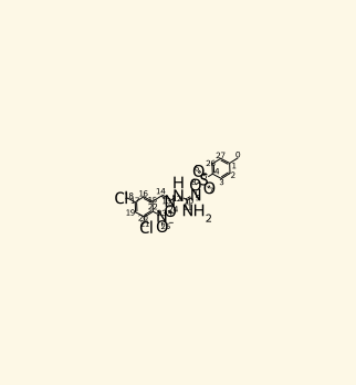 Cc1ccc(S(=O)(=O)ON=C(N)NN=Cc2cc(Cl)cc(Cl)c2[N+](=O)[O-])cc1